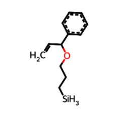 C=CC(OCCC[SiH3])c1ccccc1